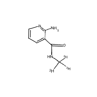 [2H]C([2H])([2H])NC(=O)c1cccnc1N